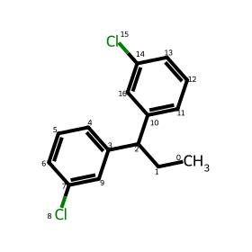 CCC(c1cccc(Cl)c1)c1cccc(Cl)c1